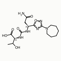 CC(O)[C@H](NC(=O)N[C@@H](CC(N)=O)c1nc(N2CCCCCC2)no1)C(=O)O